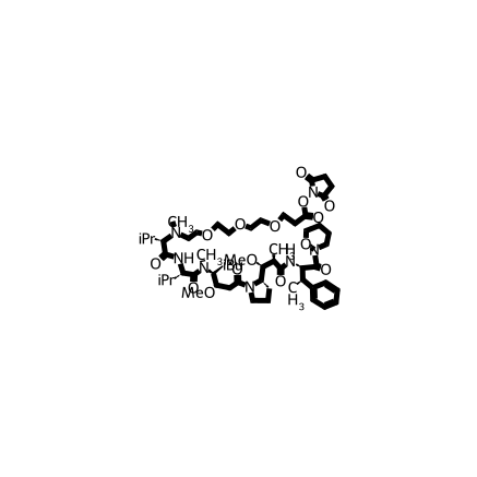 CC[C@H](C)[C@@H]([C@@H](CC(=O)N1CCC[C@H]1[C@H](OC)[C@@H](C)C(=O)N[C@H](C(=O)N1CCCCO1)[C@@H](C)c1ccccc1)OC)N(C)C(=O)[C@@H](NC(=O)[C@H](C(C)C)N(C)CCOCCOCCOCCC(=O)ON1C(=O)CCC1=O)C(C)C